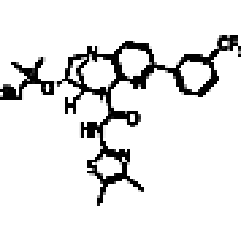 Cc1nc(NC(=O)N2c3nc(-c4cccc(C(F)(F)F)c4)ccc3N3C[C@@H]2[C@H](O[Si](C)(C)C(C)(C)C)C3)sc1C